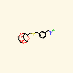 OC1C2OCCCOC(C(CSCc3cccc(CNCl)c3)O2)C1O